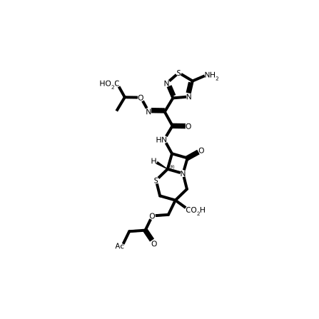 CC(=O)CC(=O)OCC1(C(=O)O)CS[C@@H]2C(NC(=O)C(=NOC(C)C(=O)O)c3nsc(N)n3)C(=O)N2C1